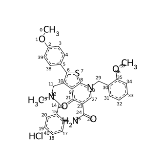 COc1ccc(-c2sc3c(c2CN(C)Cc2ccccc2)c(=O)c(C(N)=O)cn3Cc2ccccc2OC)cc1.Cl